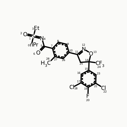 CCCS(=O)(CC)=NC(=O)c1ccc(C2=NOC(c3cc(Cl)c(F)c(Cl)c3)(C(F)(F)F)C2)cc1C